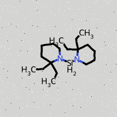 CCC1(CC)CCCCN1[SiH2]N1CCCCC1(CC)CC